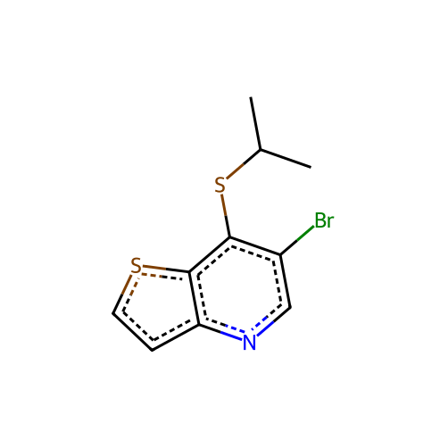 CC(C)Sc1c(Br)cnc2ccsc12